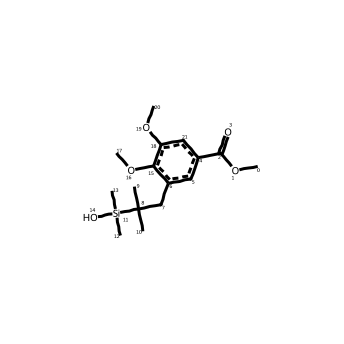 COC(=O)c1cc(CC(C)(C)[Si](C)(C)O)c(OC)c(OC)c1